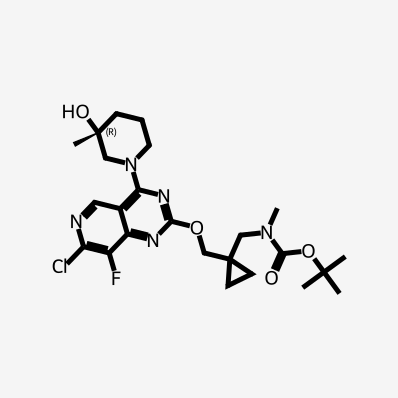 CN(CC1(COc2nc(N3CCC[C@@](C)(O)C3)c3cnc(Cl)c(F)c3n2)CC1)C(=O)OC(C)(C)C